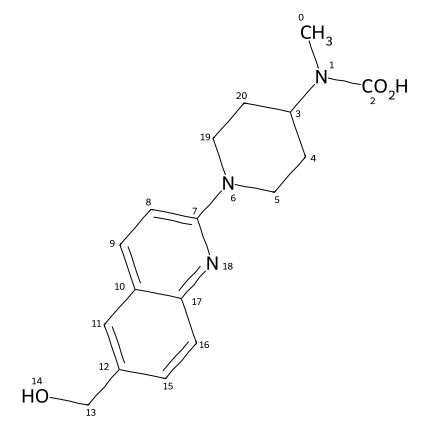 CN(C(=O)O)C1CCN(c2ccc3cc(CO)ccc3n2)CC1